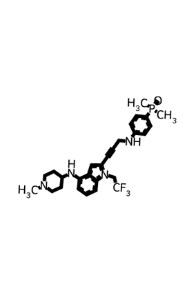 CN1CCC(Nc2cccc3c2cc(C#CCNc2ccc(P(C)(C)=O)cc2)n3CC(F)(F)F)CC1